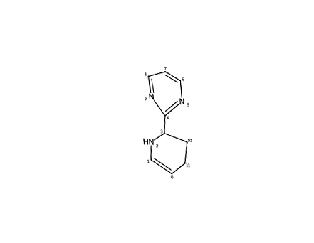 C1=CNC(c2ncccn2)CC1